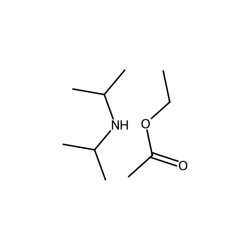 CC(C)NC(C)C.CCOC(C)=O